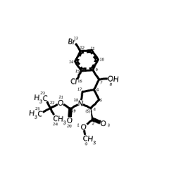 COC(=O)[C@@H]1CC(C(O)c2ccc(Br)cc2Cl)CN1C(=O)OC(C)(C)C